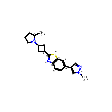 CC1CCCN1C1CC(c2nc3ccc(-c4cnn(C)c4)cc3s2)C1